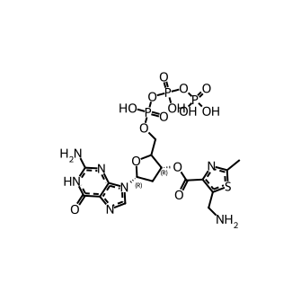 Cc1nc(C(=O)O[C@@H]2C[C@H](n3cnc4c(=O)[nH]c(N)nc43)OC2COP(=O)(O)OP(=O)(O)OP(=O)(O)O)c(CN)s1